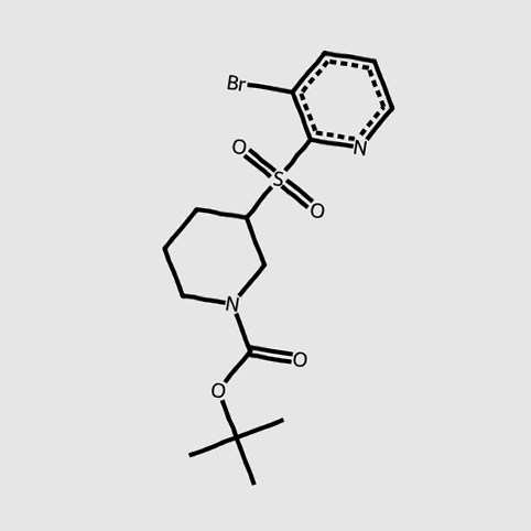 CC(C)(C)OC(=O)N1CCCC(S(=O)(=O)c2ncccc2Br)C1